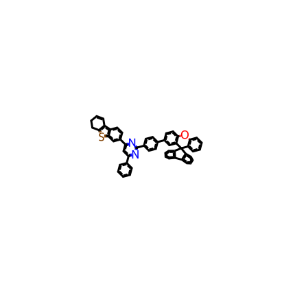 C1=Cc2c(sc3cc(-c4cc(-c5ccccc5)nc(-c5ccc(-c6ccc7c(c6)C6(c8ccccc8O7)c7ccccc7-c7ccccc76)cc5)n4)ccc23)CC1